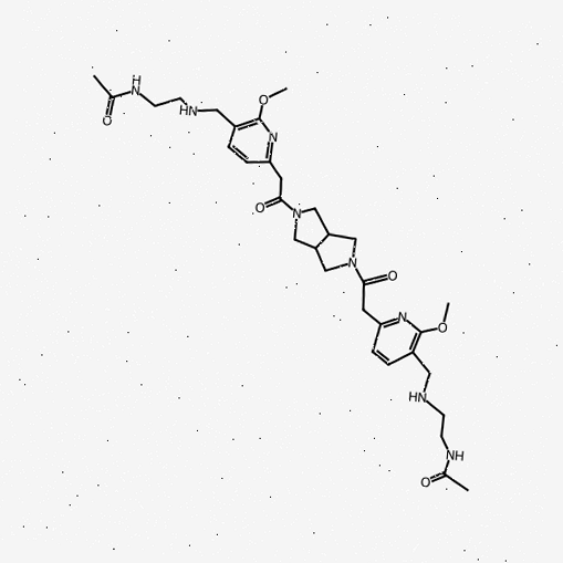 COc1nc(CC(=O)N2CC3CN(C(=O)Cc4ccc(CNCCNC(C)=O)c(OC)n4)CC3C2)ccc1CNCCNC(C)=O